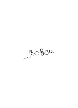 CCCCCCC[C@]1(C#N)CC[C@H](C(=O)Oc2ccc(OCC)cc2)CC1